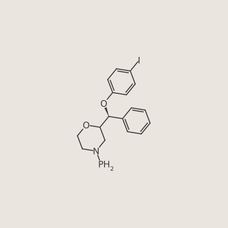 PN1CCOC([C@@H](Oc2ccc(I)cc2)c2ccccc2)C1